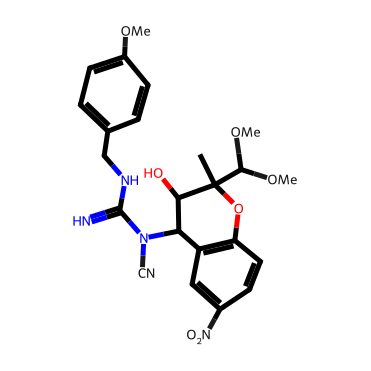 COc1ccc(CNC(=N)N(C#N)C2c3cc([N+](=O)[O-])ccc3OC(C)(C(OC)OC)C2O)cc1